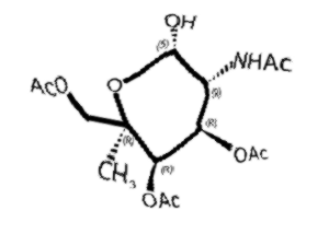 CC(=O)N[C@@H]1[C@@H](OC(C)=O)[C@@H](OC(C)=O)[C@@](C)(COC(C)=O)O[C@@H]1O